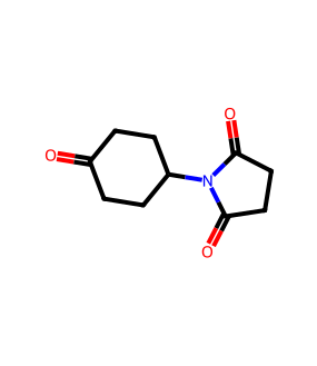 O=C1CCC(N2C(=O)CCC2=O)CC1